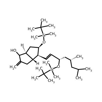 C=C1C[C@H]2[C@H](/C=C/[C@H](C[C@H](C)CC(C)C)O[Si](C)(C)C(C)(C)C)[C@H](O[Si](C)(C)C(C)(C)C)C[C@@H]2C1O